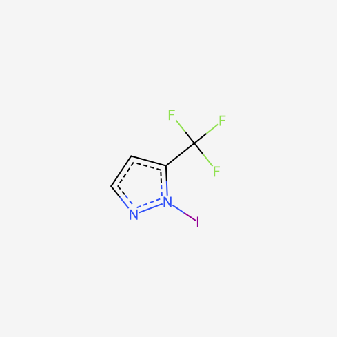 FC(F)(F)c1ccnn1I